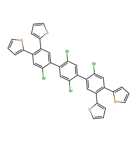 Brc1cc(-c2cc(-c3cccs3)c(-c3cccs3)cc2Br)c(Br)cc1-c1cc(-c2cccs2)c(-c2cccs2)cc1Br